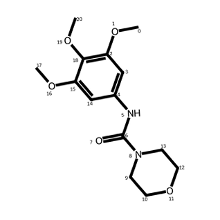 COc1cc(NC(=O)N2CCOCC2)cc(OC)c1OC